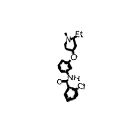 CCC1CC(Oc2cccc(NC(=O)c3ccccc3Cl)c2)CCN1C